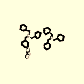 [Cl][Ni][Cl].c1ccc(CP(Cc2ccccc2)Cc2ccccc2)cc1.c1ccc(CP(Cc2ccccc2)Cc2ccccc2)cc1